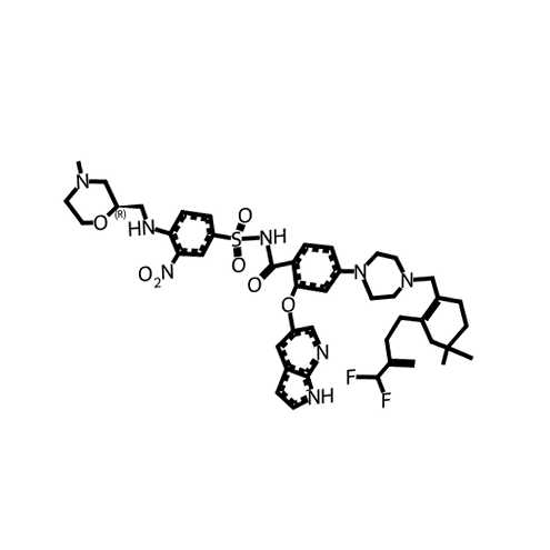 C=C(CCC1=C(CN2CCN(c3ccc(C(=O)NS(=O)(=O)c4ccc(NC[C@@H]5CN(C)CCO5)c([N+](=O)[O-])c4)c(Oc4cnc5[nH]ccc5c4)c3)CC2)CCC(C)(C)C1)C(F)F